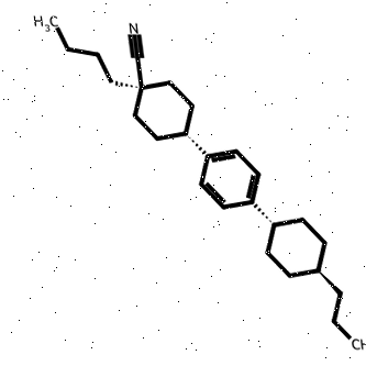 CCCC[C@]1(C#N)CC[C@H](c2ccc([C@H]3CC[C@H](CCC)CC3)cc2)CC1